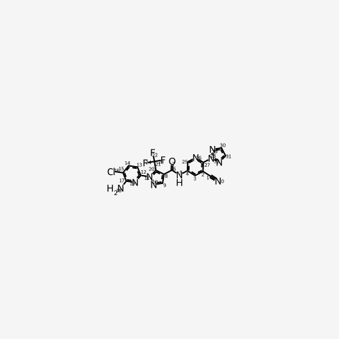 N#Cc1cc(NC(=O)c2cnn(-c3ccc(Cl)c(N)n3)c2C(F)(F)F)cnc1-n1nccn1